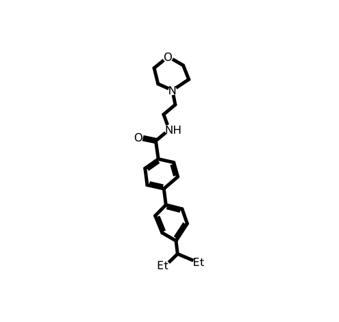 CCC(CC)c1ccc(-c2ccc(C(=O)NCCN3CCOCC3)cc2)cc1